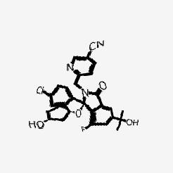 CC(C)(O)c1cc(F)c2c(c1)C(=O)N(Cc1ccc(C#N)cn1)[C@@]2(O[C@H]1CC[C@H](O)C1)c1ccc(Cl)cc1